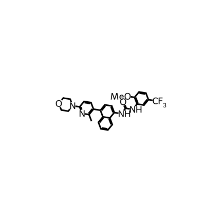 COc1ccc(C(F)(F)F)cc1NC(=O)Nc1ccc(-c2ccc(N3CCOCC3)nc2C)c2ccccc12